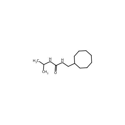 CC(C)NC(=O)NCC1CCCCCCC1